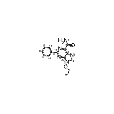 CCOn1cnc2c(C(N)=O)nc(-c3ccccc3)nc21